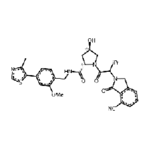 COc1cc(-c2scnc2C)ccc1CNC(=O)[C@@H]1C[C@@H](O)CN1C(=O)C(C(C)C)N1Cc2cccc(C#N)c2C1=O